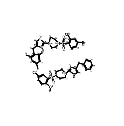 COc1ccc(Cl)cc1S(=O)(=O)N1CCN(c2nc(Cc3ccccc3)cs2)CC1.Cc1cc(C)c(Cc2csc(N3CCN(S(=O)(=O)c4ccc(Br)cc4Cl)CC3)n2)c(C)c1